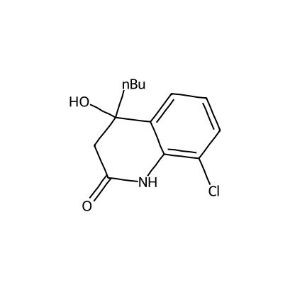 CCCCC1(O)CC(=O)Nc2c(Cl)cccc21